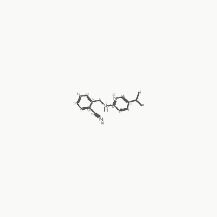 CC(C)c1ccc(NCc2ccccc2C#N)nc1